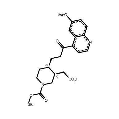 COc1ccc2nccc(C(=O)CC[C@@H]3CCN(C(=O)OC(C)(C)C)C[C@@H]3CC(=O)O)c2c1